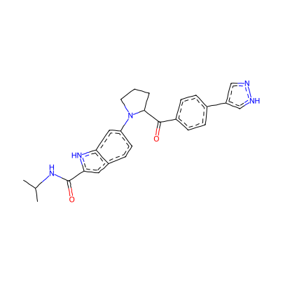 CC(C)NC(=O)c1cc2ccc(N3CCCC3C(=O)c3ccc(-c4cn[nH]c4)cc3)cc2[nH]1